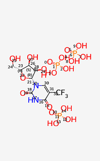 O=P(O)(O)O.O=P(O)(O)O.O=P(O)(O)O.O=c1[nH]c(=O)n([C@@H]2O[C@H](CO)[C@@H](O)[C@H]2O)cc1C(F)(F)F